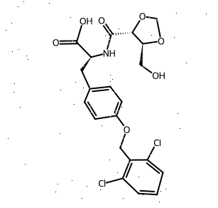 O=C(O)[C@H](Cc1ccc(OCc2c(Cl)cccc2Cl)cc1)NC(=O)[C@@H]1OCO[C@H]1CO